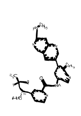 CNc1cc2ncc(-c3cc(NC(=O)c4cc([C@H](O)C(C)(F)F)ccn4)cnc3C)cc2cn1